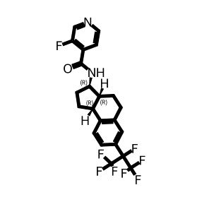 O=C(N[C@@H]1CC[C@H]2c3ccc(C(F)(C(F)(F)F)C(F)(F)F)cc3CC[C@@H]12)c1ccncc1F